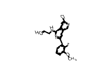 COc1cccc(-c2cc3cnc(Cl)cc3c(NCCO)n2)c1F